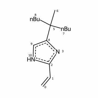 C=Cc1nc(C(C)(CCCC)CCCC)c[nH]1